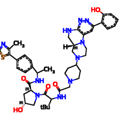 Cc1ncsc1-c1ccc(C(C)NC(=O)[C@@H]2C[C@@H](O)CN2C(=O)C(NC(=O)CN2CCC(N3CCN4c5cc(-c6ccccc6O)nnc5NC[C@H]4C3)CC2)C(C)(C)C)cc1